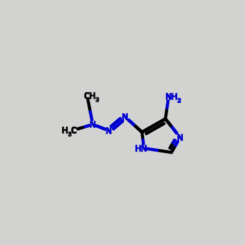 CN(C)/N=N/c1[nH]cnc1N